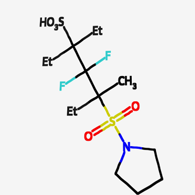 CCC(CC)(C(F)(F)C(C)(CC)S(=O)(=O)N1CCCC1)S(=O)(=O)O